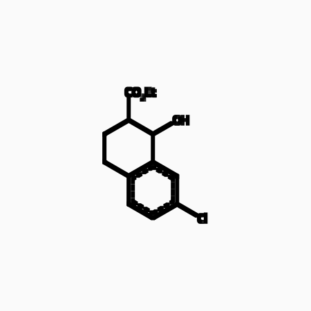 CCOC(=O)C1CCc2ccc(Cl)cc2C1O